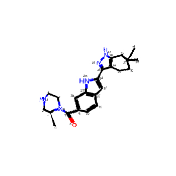 C[C@H]1CNCCN1C(=O)c1ccc2cc(-c3n[nH]c4c3CCC(C)(C)C4)[nH]c2c1